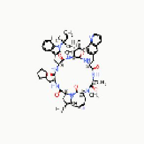 C=CC(C)(C)n1cc(C[C@@H]2NC(=O)[C@H](CC3CCCC3)NC(=O)[C@H](CC(C)C)N3CC/C=C\C[C@@H](C3=O)N(C)C(=O)[C@H](C)NC(=O)[C@H](Cc3ccc4ncccc4c3)NC(=O)[C@H](CC(C)C)N(C)C2=O)c2ccccc21